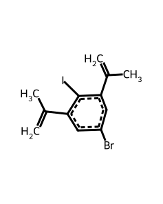 C=C(C)c1cc(Br)cc(C(=C)C)c1I